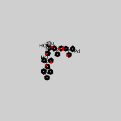 CC(C)(C)[C@@H](O)c1cccc(-c2ccc(O)cc2)n1.[Pd].c1ccc(P(c2ccccc2)c2ccccc2)cc1.c1ccc(P(c2ccccc2)c2ccccc2)cc1.c1ccc(P(c2ccccc2)c2ccccc2)cc1.c1ccc(P(c2ccccc2)c2ccccc2)cc1